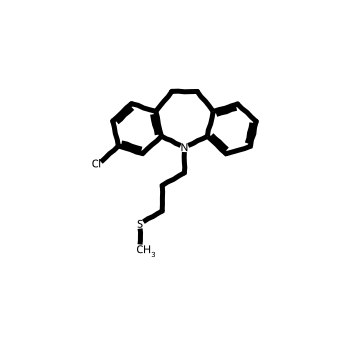 CSCCCN1c2ccccc2CCc2ccc(Cl)cc21